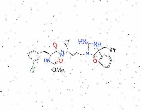 COC(=O)N[C@@H](Cc1cccc(Cl)c1)C(=O)N[C@H](CCCN1C(=N)N[C@](CC(C)C)(c2ccccc2)C1=O)C1CC1